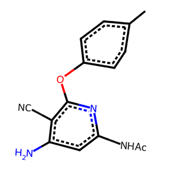 CC(=O)Nc1cc(N)c(C#N)c(Oc2ccc(C)cc2)n1